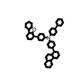 c1ccc(-c2ccc(N(c3ccc(-c4cccc5c4ccc4ccccc45)cc3)c3ccc(-c4cccc5c4oc4ccccc45)cc3)cc2)cc1